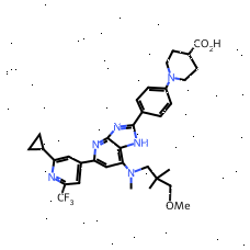 COCC(C)(C)CN(C)c1cc(-c2cc(C3CC3)nc(C(F)(F)F)c2)nc2nc(-c3ccc(N4CCC(C(=O)O)CC4)cc3)[nH]c12